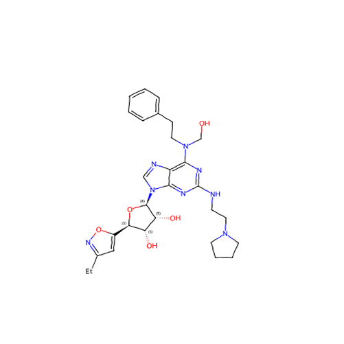 CCc1cc([C@H]2O[C@@H](n3cnc4c(N(CO)CCc5ccccc5)nc(NCCN5CCCC5)nc43)[C@H](O)[C@@H]2O)on1